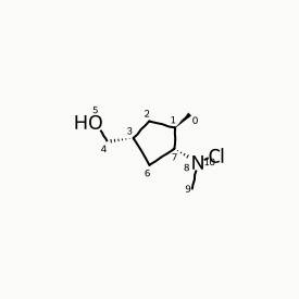 C[C@@H]1C[C@@H](CO)C[C@H]1N(C)Cl